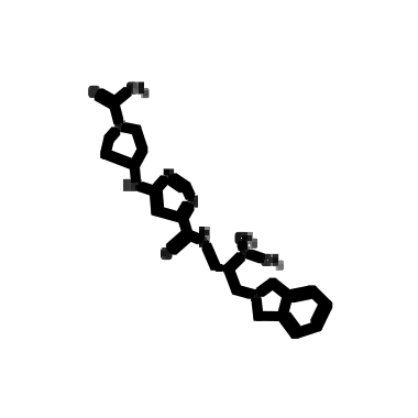 CC(=O)N1CCC(Nc2cc(C(=O)NC[C@@H](CN3Cc4ccccc4C3)N(C)C)ncn2)CC1